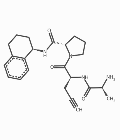 C#CC[C@H](NC(=O)[C@H](C)N)C(=O)N1CCC[C@H]1C(=O)N[C@@H]1CCCc2ccccc21